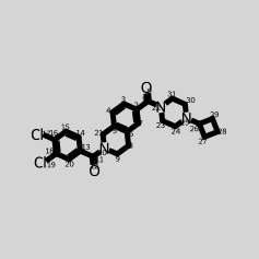 O=C(c1ccc2c(c1)CCN(C(=O)c1ccc(Cl)c(Cl)c1)C2)N1CCN(C2CCC2)CC1